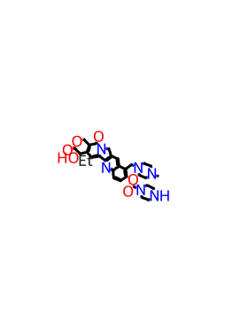 CC[C@@]1(O)C(=O)OCc2c1cc1n(c2=O)Cc2cc3c(CN4CCN(C)CC4)c(OC(=O)N4CCNCC4)ccc3nc2-1